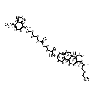 CC(C)CCC[C@@H](C)[C@H]1CC[C@H]2[C@@H]3CC=C4C[C@@H](NC(=O)CCNC(=O)CCCCCNc5ccc([N+](=O)[O-])c6nonc56)CC[C@]4(C)[C@H]3CC[C@]12C